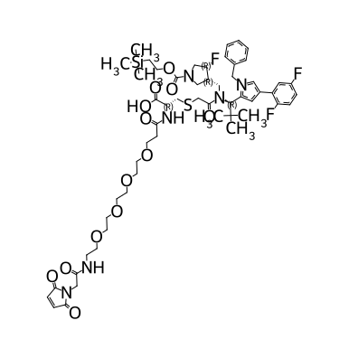 CC(C)(C)[C@H](c1cc(-c2cc(F)ccc2F)cn1Cc1ccccc1)N(C[C@@H]1CN(C(=O)OCC[Si](C)(C)C)C[C@@H]1F)C(=O)CSC[C@H](NC(=O)CCOCCOCCOCCOCCNC(=O)CN1C(=O)C=CC1=O)C(=O)O